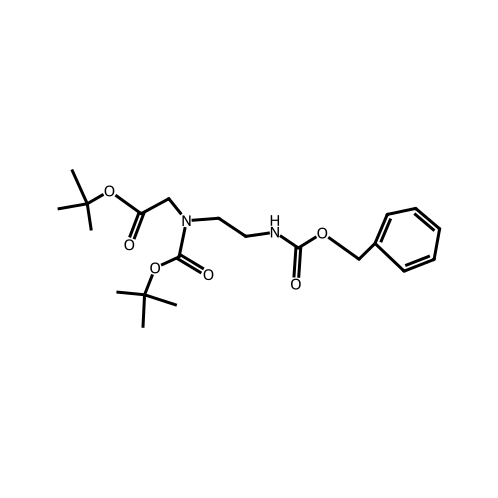 CC(C)(C)OC(=O)CN(CCNC(=O)OCc1ccccc1)C(=O)OC(C)(C)C